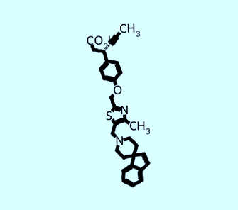 CC#C[C@@H](CC(=O)O)c1ccc(OCc2nc(C)c(CN3CCC4(C=Cc5ccccc54)CC3)s2)cc1